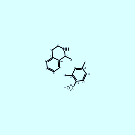 CC1NCCc2ccccc21.Cc1ccc(C(=O)O)c(C)c1